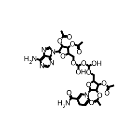 CC(=O)OC1C(COC(O)OC(O)OCC2OC(n3cnc4c(N)ncnc43)C(OC(C)=O)C2OC(C)=O)OC(N2C=CCC(C(N)=O)=C2)C1OC(C)=O